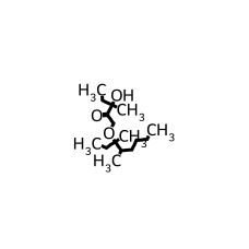 CCCCC(C)C(C)(CC)OCC(=O)C(C)(O)CC